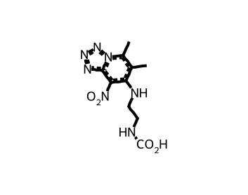 Cc1c(NCCNC(=O)O)c([N+](=O)[O-])c2nnnn2c1C